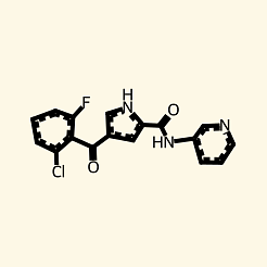 O=C(Nc1cccnc1)c1cc(C(=O)c2c(F)cccc2Cl)c[nH]1